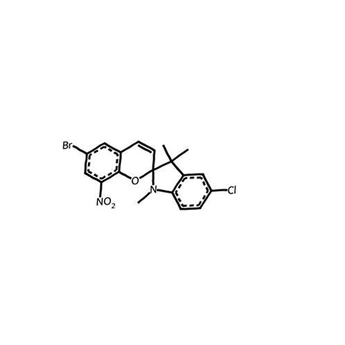 CN1c2ccc(Cl)cc2C(C)(C)C12C=Cc1cc(Br)cc([N+](=O)[O-])c1O2